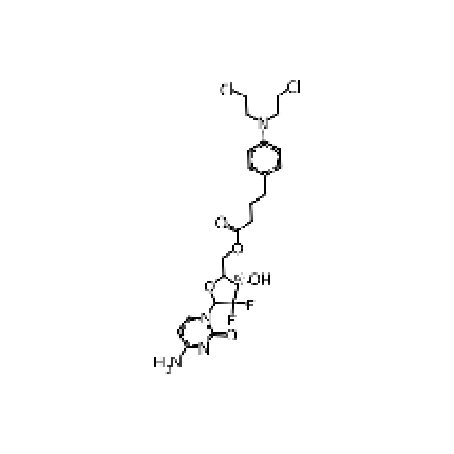 Nc1ccn(C2OC(COC(=O)CCCc3ccc(N(CCCl)CCCl)cc3)[C@H](O)C2(F)F)c(=O)n1